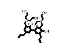 C=CCc1cc(CN(CCO)CCO)c(O)c(-c2cc(CC=C)c(O)c(CN(CCO)CCO)c2)c1